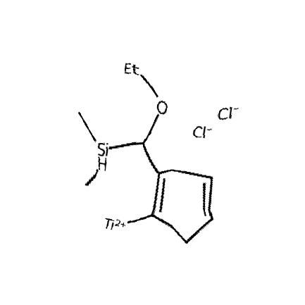 CCOC(C1=[C]([Ti+2])CC=C1)[SiH](C)C.[Cl-].[Cl-]